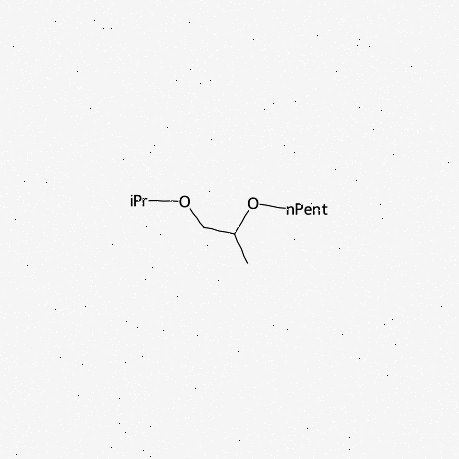 [CH2]C(C)OCC(C)OCCCCC